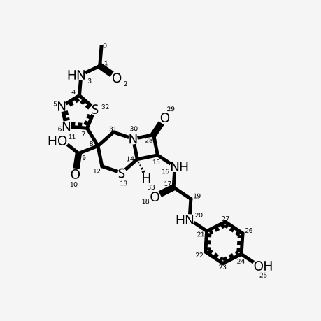 CC(=O)Nc1nnc(C2(C(=O)O)CS[C@@H]3C(NC(=O)CNc4ccc(O)cc4)C(=O)N3C2)s1